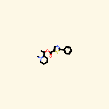 CC(OC(=O)c1cnc(-c2ccccc2)s1)C1CCCCN1C